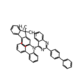 CC1(C)c2ccccc2-c2ccc(N(c3ccccc3-c3ccccc3)c3nc(-c4ccc(-c5ccccc5)cc4)nc4ccccc34)cc21